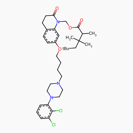 CC(C(=O)OCN1C(=O)CCc2ccc(OCCCCN3CCN(c4cccc(Cl)c4Cl)CC3)cc21)C(C)(C)CC(C)(C)C